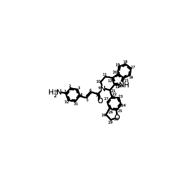 Nc1ccc(C=CC(=O)N2CCc3c([nH]c4ccccc34)C2c2ccc3c(c2)CCO3)cc1